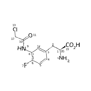 N[C@@H](Cc1ccc(F)c(NC(=O)CCl)c1)C(=O)O